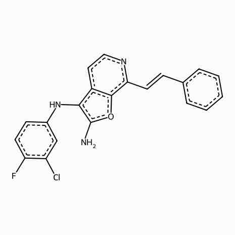 Nc1oc2c(/C=C/c3ccccc3)nccc2c1Nc1ccc(F)c(Cl)c1